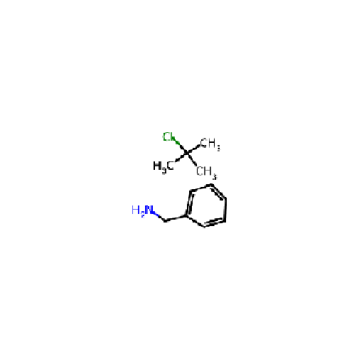 CC(C)(C)Cl.NCc1ccccc1